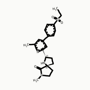 CCS(=O)(=O)c1ccc(-c2cc(C)nc([C@@H]3CC[C@]4(CCN(C)C4=O)N3)c2)cc1